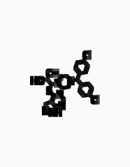 CC(O)C(Sc1ncnc2[nH]ncc12)N1CCN(C(c2ccc(Cl)cc2)c2ccc(Cl)cc2)CC1